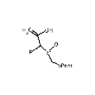 C=C(O)C(F)[S+]([O-])CCCCCC